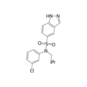 CC(C)CN(c1cccc(Cl)c1)S(=O)(=O)c1ccc2[nH]ncc2c1